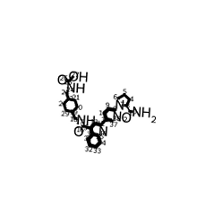 NC(=O)[C@@H]1CCCN1c1ccc(-c2cc(C(=O)NCC3CCC(CNC(=O)O)CC3)c3ccccc3n2)cn1